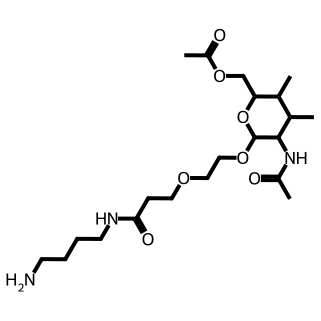 CC(=O)NC1C(OCCOCCC(=O)NCCCCN)OC(COC(C)=O)C(C)C1C